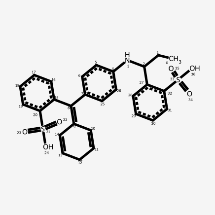 CCC(Nc1ccc(C(=C2C=C[C]C=C2)c2ccccc2S(=O)(=O)O)cc1)c1ccccc1S(=O)(=O)O